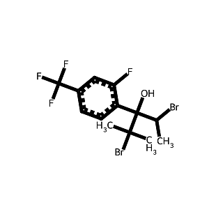 CC(Br)C(O)(c1ccc(C(F)(F)F)cc1F)C(C)(C)Br